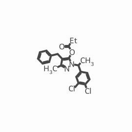 CCC(=O)Oc1c(Cc2ccccc2)c(C)nn1C(C)c1ccc(Cl)c(Cl)c1